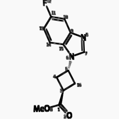 COC(=O)[C@H]1C[C@H](n2cnc3cc(F)ccc32)C1